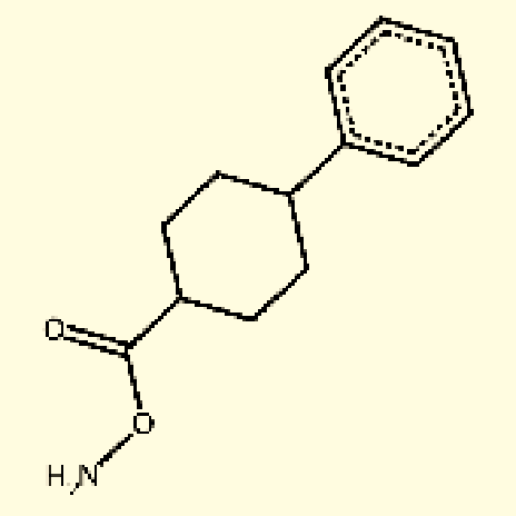 NOC(=O)C1CCC(c2ccccc2)CC1